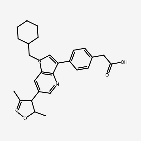 CC1=NOC(C)C1c1cnc2c(-c3ccc(CC(=O)O)cc3)cn(CC3CCCCC3)c2c1